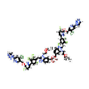 COCCn1c(Cc2c(F)cc(-c3ccc(F)c(OCc4cnc(-n5ccnn5)cc4Cl)n3)c(F)c2F)nc2ccc(C(=O)OC(=O)c3ccc4nc(Cc5c(F)cc(-c6ccc(F)c(OCc7cnc(-n8ccnn8)cc7Cl)n6)c(F)c5F)n(CCOC)c4c3)cc21